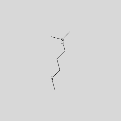 CSCCC[SiH](C)C